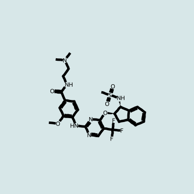 COc1cc(C(=O)NCCN(C)C)ccc1Nc1ncc(C(F)(F)F)c(O[C@@H]2Cc3ccccc3[C@H]2NS(C)(=O)=O)n1